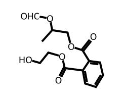 CC(COC(=O)c1ccccc1C(=O)OCCO)OC=O